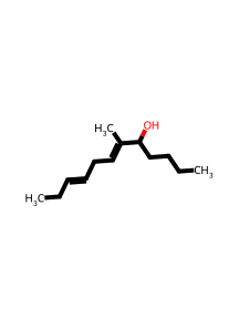 CC/C=C/C/C=C(\C)C(O)CCCC